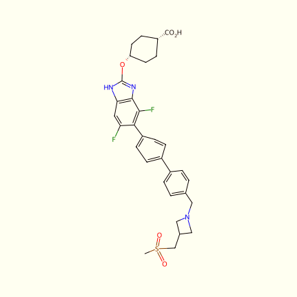 CS(=O)(=O)CC1CN(Cc2ccc(-c3ccc(-c4c(F)cc5[nH]c(O[C@H]6CC[C@@H](C(=O)O)CC6)nc5c4F)cc3)cc2)C1